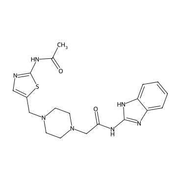 CC(=O)Nc1ncc(CN2CCN(CC(=O)Nc3nc4ccccc4[nH]3)CC2)s1